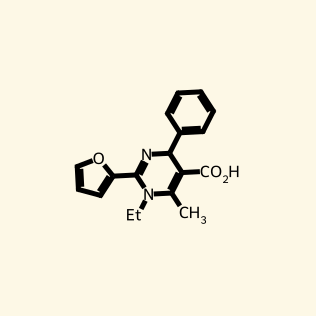 CCN1C(c2ccco2)=NC(c2ccccc2)C(C(=O)O)=C1C